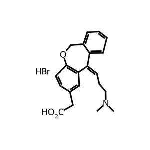 Br.CN(C)CCC=C1c2ccccc2COc2ccc(CC(=O)O)cc21